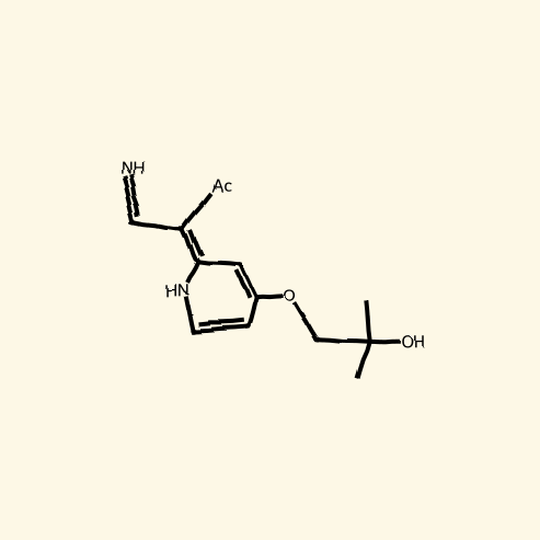 CC(=O)/C(C=N)=C1\C=C(OCC(C)(C)O)C=CN1